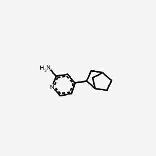 Nc1cc(C2CC3CCC2C3)ccn1